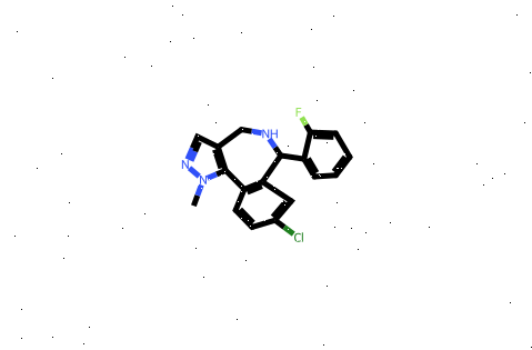 Cn1ncc2c1-c1ccc(Cl)cc1C(c1ccccc1F)NC2